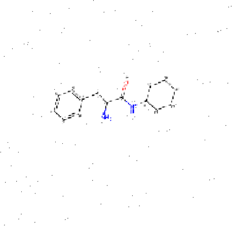 N[C@@H](Cc1ccccc1)C(=O)NC1CCCCC1